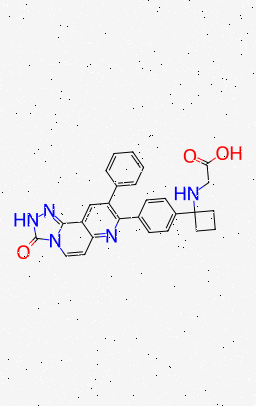 O=C(O)CNC1(c2ccc(-c3nc4ccn5c(=O)[nH]nc5c4cc3-c3ccccc3)cc2)CCC1